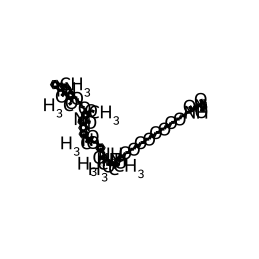 COc1cc2c(cc1OCCCOc1cc3c(cc1OC)C(=O)N1Cc4ccccc4CC1(C)C=N3)N=CC1Cc3ccc(N(C)C(=O)OCc4ccc(NC(=O)[C@H](C)NC(=O)[C@@H](NC(=O)CCOCCOCCOCCOCCOCCOCCOCCOCCCNC(=O)CCN5C(=O)C=CC5=O)C(C)C)cc4)cc3CN1C2=O